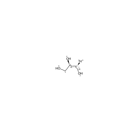 [2H][13C@@H](O)[C@H](O)CO